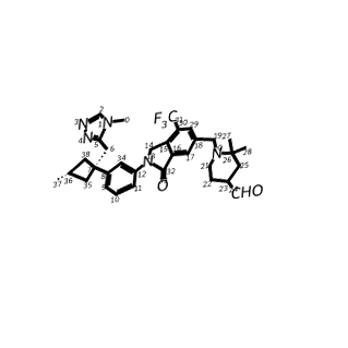 Cn1cnnc1C[C@]1(c2cccc(N3Cc4c(cc(CN5CCC(C=O)CC5(C)C)cc4C(F)(F)F)C3=O)c2)C[C@H](C)C1